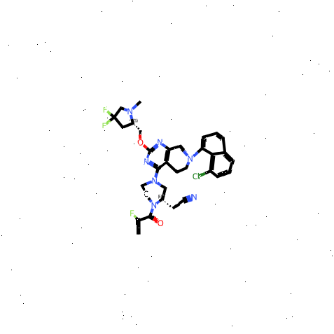 C=C(F)C(=O)N1CCN(c2nc(OC[C@@H]3CC(F)(F)CN3C)nc3c2CCN(c2cccc4cccc(Cl)c24)C3)C[C@@H]1CC#N